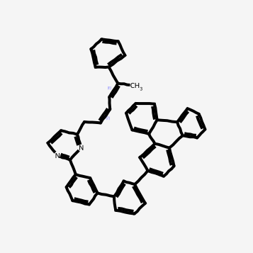 C/C(=C\C=C/Cc1ccnc(-c2cccc(-c3cccc(-c4ccc5c6ccccc6c6ccccc6c5c4)c3)c2)n1)c1ccccc1